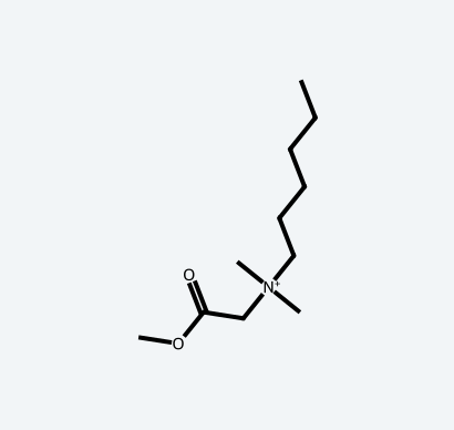 CCCCCC[N+](C)(C)CC(=O)OC